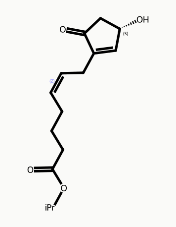 CC(C)OC(=O)CCC/C=C\CC1=C[C@@H](O)CC1=O